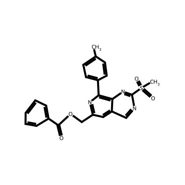 Cc1ccc(-c2nc(COC(=O)c3ccccc3)cc3cnc(S(C)(=O)=O)nc23)cc1